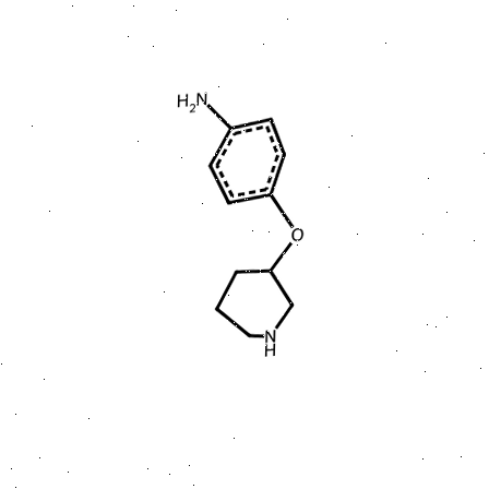 Nc1ccc(OC2CCCNC2)cc1